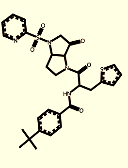 CC(C)(C)c1ccc(C(=O)NC(Cc2cccs2)C(=O)N2CCC3C2C(=O)CN3S(=O)(=O)c2ccccn2)cc1